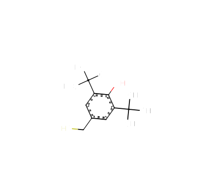 CC(C)(C)c1cc(CS)cc(C(C)(C)C)c1O